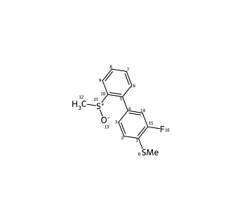 CSc1ccc(-c2[c]cccc2[S+](C)[O-])cc1F